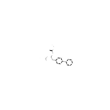 CCOC(=O)[C@@H](C)C[C@@H](Cc1ccc(-c2ccccc2)cc1)NC(=O)OC(C)(C)C